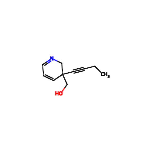 CCC#CC1(CO)C=CC=NC1